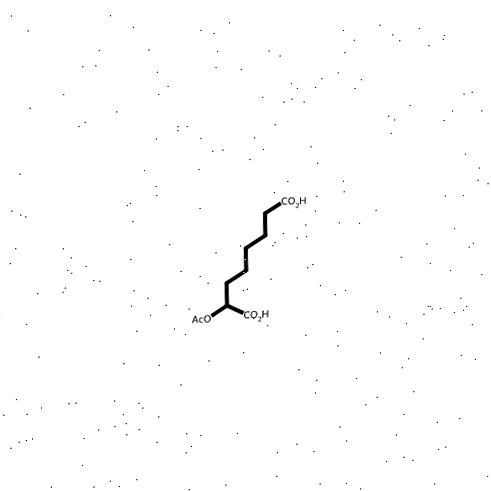 CC(=O)OC(CCCCCC(=O)O)C(=O)O